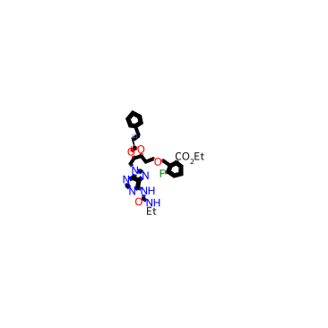 CCNC(=O)Nc1ncnc2c1ncn2CC1O[C@@H](/C=C/c2ccccc2)OC1CCOCc1c(F)cccc1C(=O)OCC